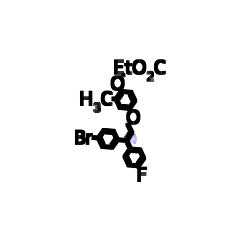 CCOC(=O)COc1ccc(OC/C=C(/c2ccc(F)cc2)c2ccc(Br)cc2)cc1C